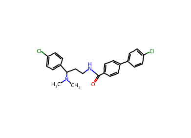 CN(C)C(CCNC(=O)c1ccc(-c2ccc(Cl)cc2)cc1)c1ccc(Cl)cc1